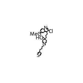 COc1ccc2ncc(Cl)c(CCCC3(CO)CCN(CCCCc4ccsc4)CC3)c2c1